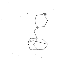 C1CN(CC23CC4CC(CC(C4)C2)C3)CCN1